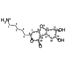 NCCCCCc1cc2oc3cc(O)c(O)cc3c2c(=O)o1